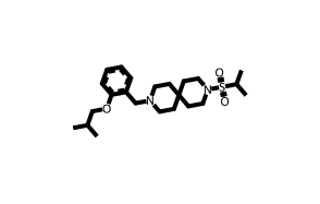 CC(C)COc1ccccc1CN1CCC2(CC1)CCN(S(=O)(=O)C(C)C)CC2